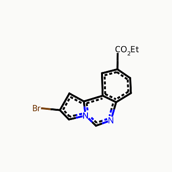 CCOC(=O)c1ccc2ncn3cc(Br)cc3c2c1